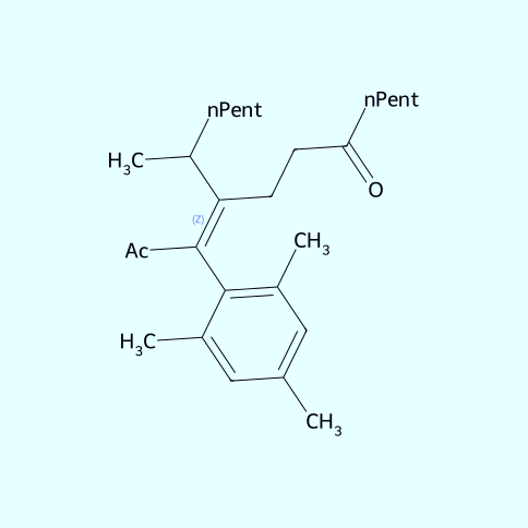 CCCCCC(=O)CC/C(=C(/C(C)=O)c1c(C)cc(C)cc1C)C(C)CCCCC